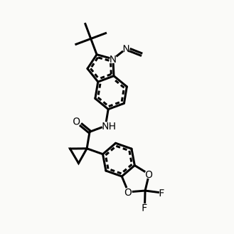 C=Nn1c(C(C)(C)C)cc2cc(NC(=O)C3(c4ccc5c(c4)OC(F)(F)O5)CC3)ccc21